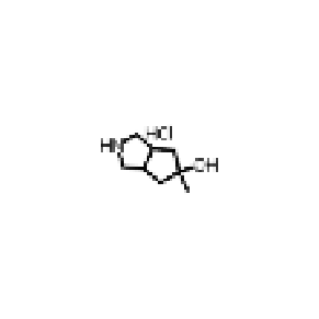 CC1(O)CC2CNCC2C1.Cl